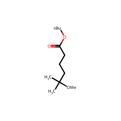 CCCCOC(=O)CCCC(C)(C)OC